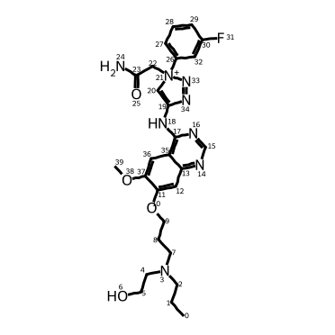 CCCN(CCO)CCCOc1cc2ncnc(NC3=C[N+](CC(N)=O)(c4cccc(F)c4)N=N3)c2cc1OC